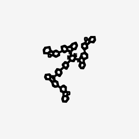 c1ccc2c(c1)oc1ccc(-c3ccc4c5ccccc5n(-c5ccc(-c6ccc(-c7cc(-n8c9ccccc9c9ccc(-c%10ccc%11oc%12ccccc%12c%11c%10)cc98)nc(-n8c9ccccc9c9ccc(-c%10ccc%11oc%12ccccc%12c%11c%10)cc98)n7)cc6)cc5)c4c3)cc12